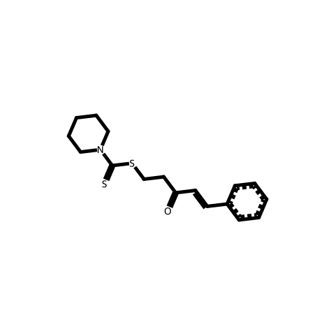 O=C(C=Cc1ccccc1)CCSC(=S)N1CCCCC1